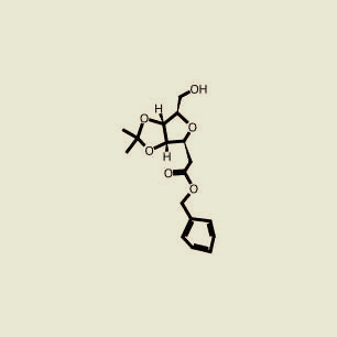 CC1(C)O[C@@H]2[C@H](O1)[C@@H](CO)O[C@H]2CC(=O)OCc1ccccc1